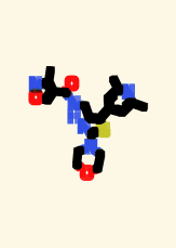 Cc1cc(-c2sc(N3CCOCC3)nc2CNC(=O)c2conc2C)cc(C)n1